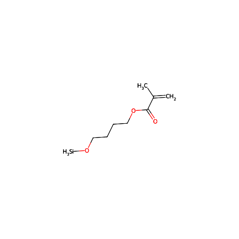 C=C(C)C(=O)OCCCCO[SiH3]